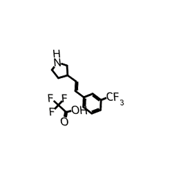 FC(F)(F)c1cccc(C=CC2CCNC2)c1.O=C(O)C(F)(F)F